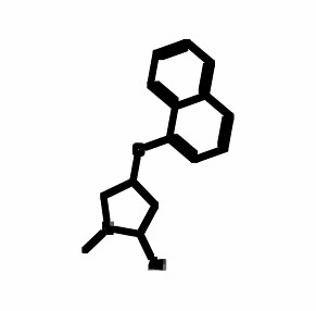 CC(=O)C1CC(Oc2cccc3ccccc23)CN1C